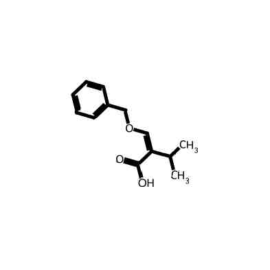 CC(C)C(=COCc1ccccc1)C(=O)O